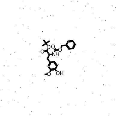 COc1cc(CC(NC(=O)OCc2ccccc2)C(=O)OC(C)(C)C)ccc1O